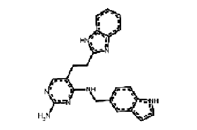 Nc1ncc(CCc2nc3ccccc3[nH]2)c(NCc2ccc3[nH]ccc3c2)n1